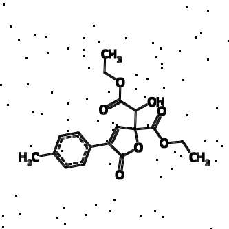 CCOC(=O)C(O)C1(C(=O)OCC)C=C(c2ccc(C)cc2)C(=O)O1